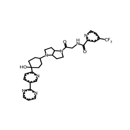 O=C(NCC(=O)N1CCC2C1CCN2C1CCC(O)(c2ccc(-c3ncccn3)cn2)CC1)c1cc(C(F)(F)F)ccn1